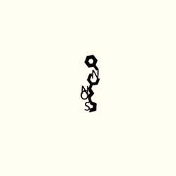 c1ccc(CN2CCC(c3cc(-c4cccs4)on3)CC2)cc1